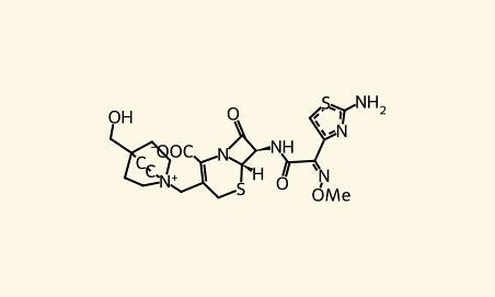 CO/N=C(\C(=O)N[C@@H]1C(=O)N2C(C(=O)[O-])=C(C[N+]34CCC(CO)(CC3)CC4)CS[C@@H]12)c1csc(N)n1